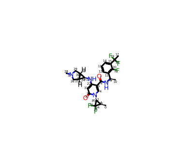 C[C@@H]1[C@@H](n2cc(C(=O)N[C@H](C)c3cccc(C(C)(F)F)c3F)c(N[C@H]3[C@@H]4CN(C)C[C@@H]43)cc2=O)C1(F)F